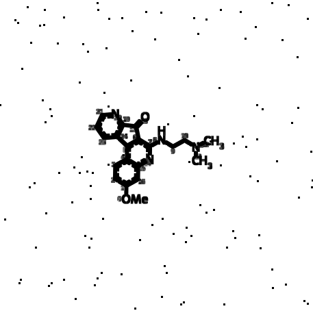 COc1ccc2c3c(c(NCCN(C)C)nc2c1)C(=O)c1ncccc1-3